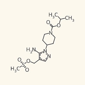 CC(C)OC(=O)N1CCC(n2ncc(COS(C)(=O)=O)c2N)CC1